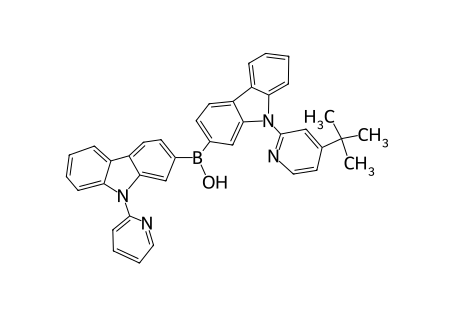 CC(C)(C)c1ccnc(-n2c3ccccc3c3ccc(B(O)c4ccc5c6ccccc6n(-c6ccccn6)c5c4)cc32)c1